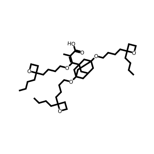 CCCCC1(CCCCOC(=C(C)C(=O)O)C23CC4CC(OCCCCC5(CCCC)CCO5)(CC(OCCCCC5(CCCC)CCO5)(C4)C2)C3)CCO1